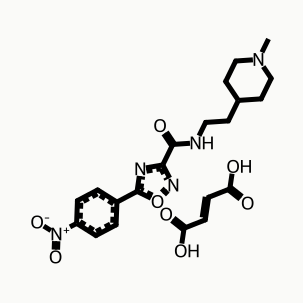 CN1CCC(CCNC(=O)c2noc(-c3ccc([N+](=O)[O-])cc3)n2)CC1.O=C(O)C=CC(=O)O